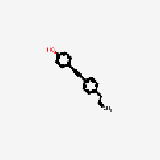 C=CCc1ccc(C#Cc2ccc(O)cc2)cc1